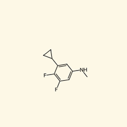 CNc1cc(F)c(F)c(C2CC2)c1